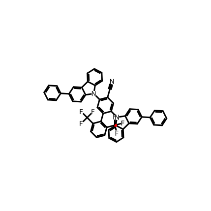 N#Cc1cc(-n2c3ccccc3c3cc(-c4ccccc4)ccc32)c(-c2c(C(F)(F)F)cccc2C(F)(F)F)cc1-n1c2ccccc2c2cc(-c3ccccc3)ccc21